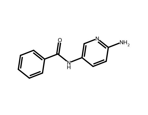 Nc1ccc(NC(=O)c2ccccc2)cn1